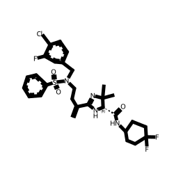 C=C(CCN(Cc1ccc(Cl)c(F)c1)S(=O)(=O)c1ccccc1)C1=NC(C)(C)[C@H](C(=O)NC2CCC(F)(F)CC2)N1